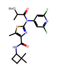 COC(C)C(=O)N(c1cc(F)nc(F)c1)c1nc(C(=O)NC2CCC2(C)C)c(C)s1